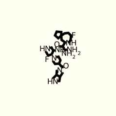 NC(N)C(C(=O)NC1CNCC(F)C1N1CCC(C(=O)N2CC3CNCC3C2)CC1)C1CC2(CCCC2)CCC(F)CN1